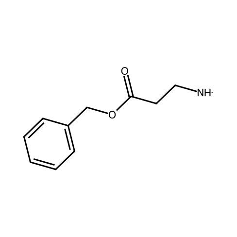 [NH]CCC(=O)OCc1ccccc1